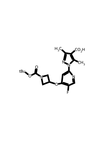 Cc1nn(-c2cc(OC3CN(C(=O)OC(C)(C)C)C3)c(F)cn2)c(C)c1C(=O)O